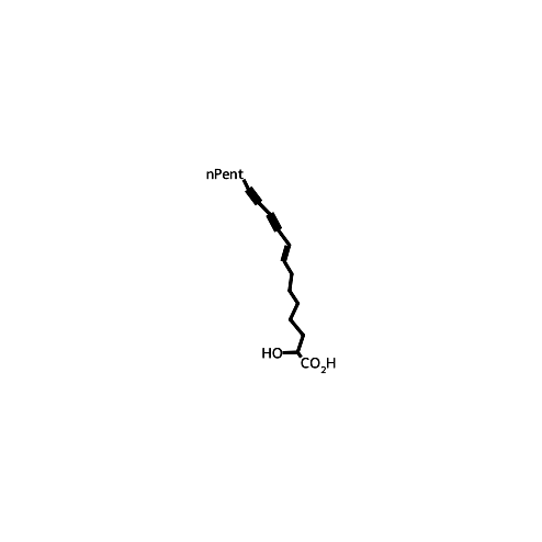 CCCCCC#CC#C/C=C/CCCCCC(O)C(=O)O